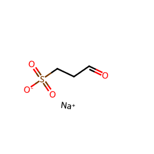 O=CCCS(=O)(=O)[O-].[Na+]